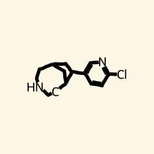 Clc1ccc(C2CC3CCNCCC2C3)cn1